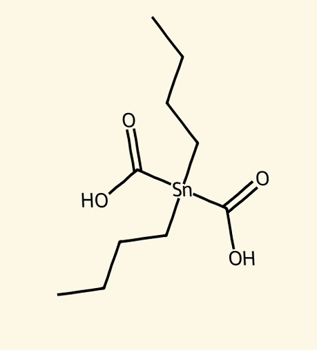 CCC[CH2][Sn]([CH2]CCC)([C](=O)O)[C](=O)O